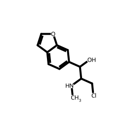 CNC(CCl)C(O)c1ccc2ccoc2c1